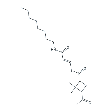 CCCCCCCCNC(=O)C=CSC(=O)[C@@H]1C[C@H](C(C)=O)C1(C)C